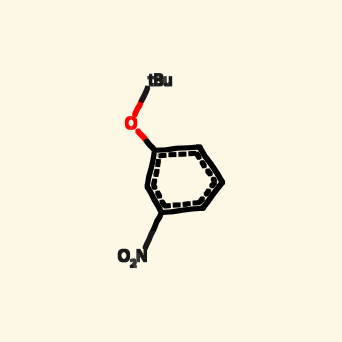 CC(C)(C)Oc1cccc([N+](=O)[O-])c1